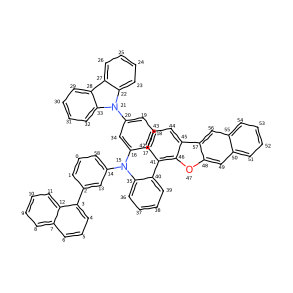 c1cc(-c2cccc3ccccc23)cc(N(c2cccc(-n3c4ccccc4c4ccccc43)c2)c2ccccc2-c2cccc3c2oc2cc4ccccc4cc23)c1